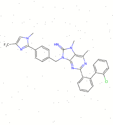 Cc1nc(-c2ccccc2-c2ccccc2Cl)nc2c1n(C)c(=N)n2Cc1ccc(-c2nc(C(F)(F)F)cn2C)cc1